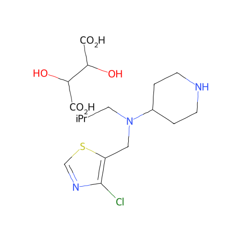 CC(C)CN(Cc1scnc1Cl)C1CCNCC1.O=C(O)C(O)C(O)C(=O)O